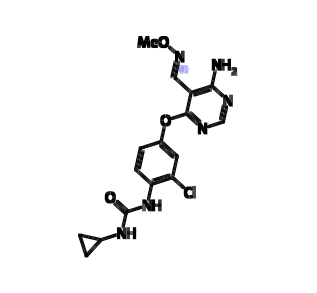 CO/N=C/c1c(N)ncnc1Oc1ccc(NC(=O)NC2CC2)c(Cl)c1